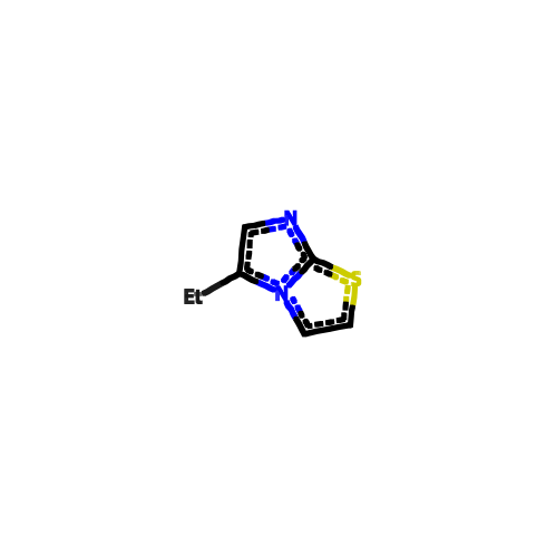 CCc1cnc2sccn12